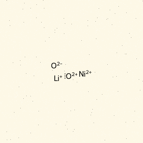 [Li+].[Ni+2].[O+2].[O-2]